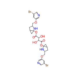 O=C(OC12CC1CC(COc1cncc(Br)c1)N2)C(O)C(O)C(=O)OC12CC1CC(COc1cncc(Br)c1)N2